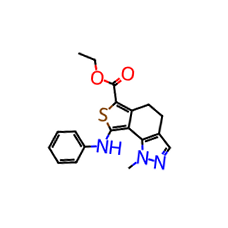 CCOC(=O)c1sc(Nc2ccccc2)c2c1CCc1cnn(C)c1-2